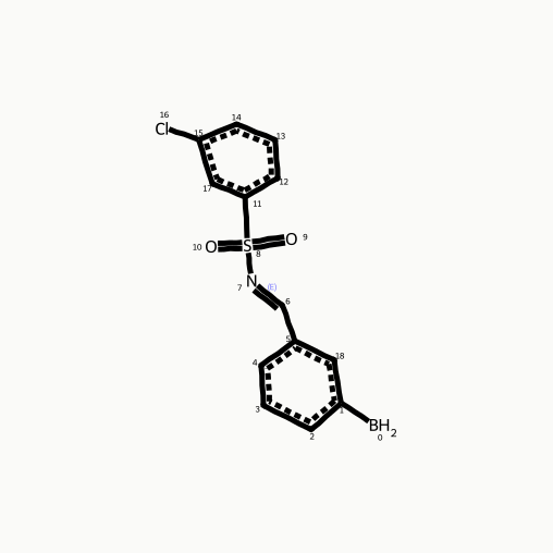 Bc1cccc(/C=N/S(=O)(=O)c2cccc(Cl)c2)c1